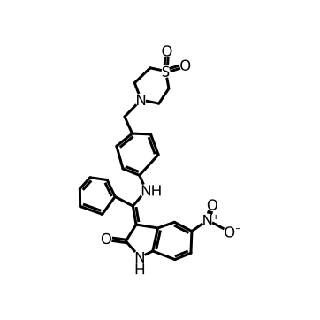 O=C1Nc2ccc([N+](=O)[O-])cc2C1=C(Nc1ccc(CN2CCS(=O)(=O)CC2)cc1)c1ccccc1